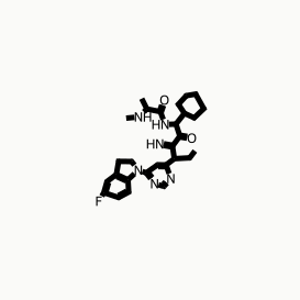 CCC(C(=N)C(=O)C(NC(=O)C(C)NC)C1CCCCC1)c1cc(N2CCc3cc(F)ccc32)ncn1